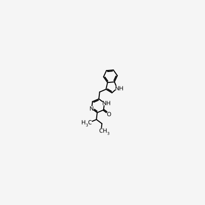 CCC(C)c1ncc(Cc2c[nH]c3ccccc23)[nH]c1=O